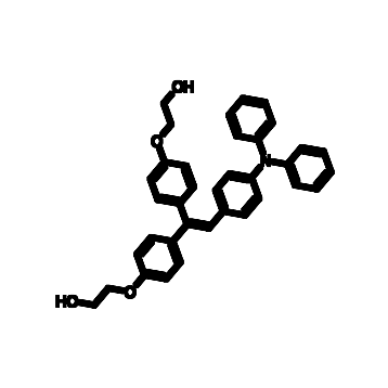 OCCOc1ccc(C(=Cc2ccc(N(c3ccccc3)c3ccccc3)cc2)c2ccc(OCCO)cc2)cc1